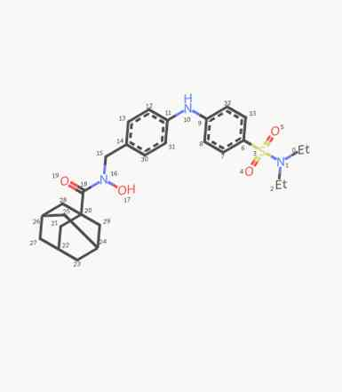 CCN(CC)S(=O)(=O)c1ccc(Nc2ccc(CN(O)C(=O)C34CC5CC(CC(C5)C3)C4)cc2)cc1